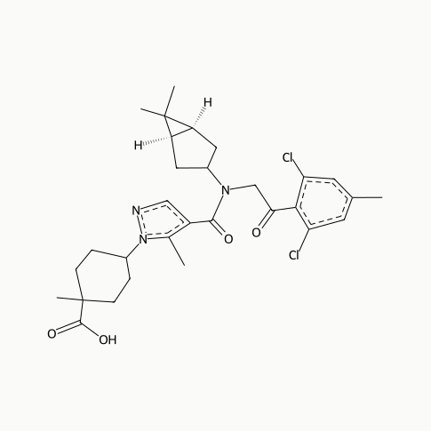 Cc1cc(Cl)c(C(=O)CN(C(=O)c2cnn(C3CCC(C)(C(=O)O)CC3)c2C)C2C[C@@H]3[C@H](C2)C3(C)C)c(Cl)c1